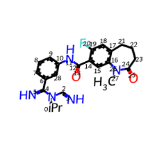 CC(C)N(C=N)C(=N)c1cccc(NC(=O)c2cc3c(cc2F)CCCC(=O)N3C)c1